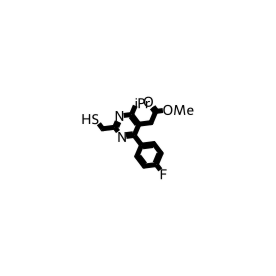 COC(=O)Cc1c(-c2ccc(F)cc2)nc(CS)nc1C(C)C